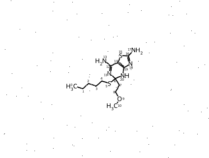 CCCCCSC1(CCOC)N=C(N)c2sc(N)nc2N1